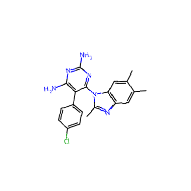 Cc1cc2nc(C)n(-c3nc(N)nc(N)c3-c3ccc(Cl)cc3)c2cc1C